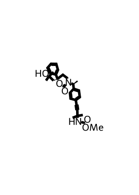 COC(=O)NC(C)(C)C#Cc1ccc([C@H](C)N2CC[C@](CC(C)(C)O)(c3ccccc3)OC2=O)cc1